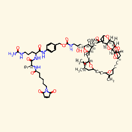 C=C1CC2CC[C@@]34C[C@H]5O[C@H]6[C@@H](O3)[C@H]3OC(CC[C@@H]3O[C@H]6[C@H]5O4)CC(=O)C[C@@H]3[C@@H](OC)[C@@H](C[C@H](O)CNC(=O)OCc4ccc(NC(=O)C(CCCNC(N)=O)NC(=O)[C@@H](NC(=O)CCCCCN5C(=O)C=CC5=O)C(C)C)cc4)O[C@H]3C[C@H]3OC(CCC1O2)C[C@@H](C)C3=C